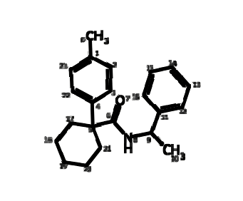 Cc1ccc(C2(C(=O)NC(C)c3ccccc3)CCCCC2)cc1